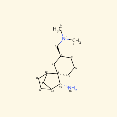 CN(C)C[C@H]1CCC[C@@]2(C1)C1CCC(C1)[C@H]2N